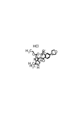 CCOC(=O)n1nc2c(c1NC(=O)c1ccc(N3CCOCC3)cc1[N+](=O)[O-])CNC2(C)C.Cl